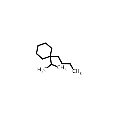 CCCCC1(C(C)C)CCCCC1